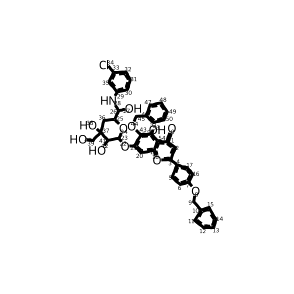 O=c1cc(-c2ccc(OCc3ccccc3)cc2)oc2cc(OC3OC(C(O)Nc4cccc(Cl)c4)CC(O)(CO)C3O)c(OCc3ccccc3)c(O)c12